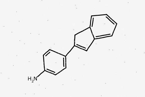 Nc1ccc(C2=Cc3ccccc3C2)cc1